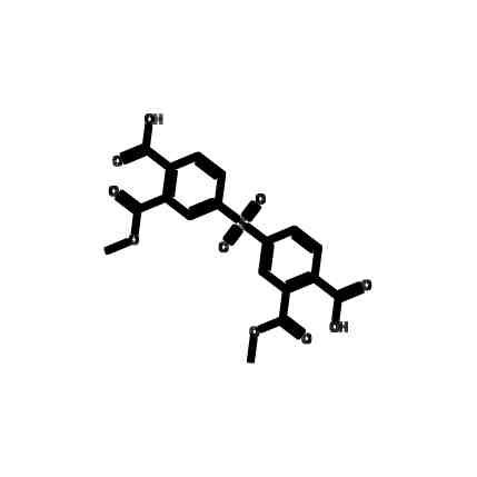 COC(=O)c1cc(S(=O)(=O)c2ccc(C(=O)O)c(C(=O)OC)c2)ccc1C(=O)O